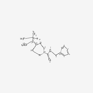 O=C(OCc1ccccc1)C1CCC(C(O)C(F)(F)C(F)(F)F)CC1